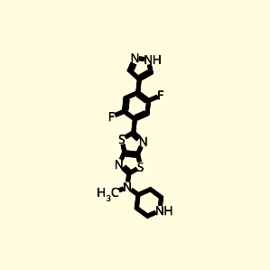 CN(c1nc2sc(-c3cc(F)c(-c4cn[nH]c4)cc3F)nc2s1)C1CCNCC1